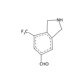 O=Cc1cc2c(c(C(F)(F)F)c1)CNC2